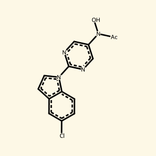 CC(=O)N(O)c1cnc(-n2ccc3cc(Cl)ccc32)nc1